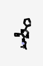 [C-]#[N+]c1nc(-c2ccccc2)cnc1/N=C/N(C)C